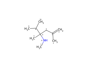 C=C(C)CC(C)(NC)C(C)C